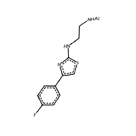 CC(=O)NCCNc1nc(-c2ccc(F)cc2)cs1